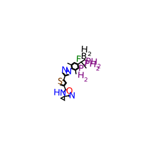 BC(P)C(F)(c1cc(C)c(-n2cc(-c3cc(C(=O)NC4(C#N)CC4)cs3)cn2)c(C)c1)C(C)(P)P